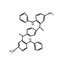 CC(c1ccc(C(C)c2cc(N)ccc2Nc2ccccc2)cc1)c1cc(N)ccc1Nc1ccccc1